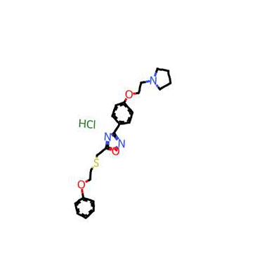 Cl.c1ccc(OCCSCc2nc(-c3ccc(OCCN4CCCC4)cc3)no2)cc1